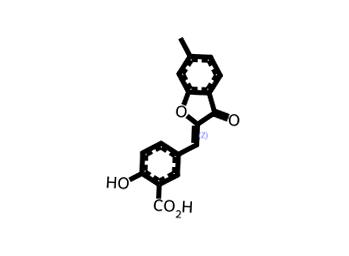 Cc1ccc2c(c1)O/C(=C\c1ccc(O)c(C(=O)O)c1)C2=O